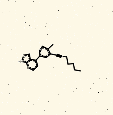 CCCCCC#Cc1cc(-c2ccnc3[nH]ncc23)ccc1C